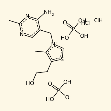 Cc1ncc(C[n+]2csc(CCO)c2C)c(N)n1.Cl.Cl.O=P(O)(O)O.O=P([O-])(O)O